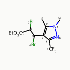 CCOC(=O)C(Br)C(Br)c1c(C(F)(F)F)nn(C)c1C